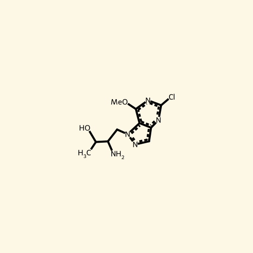 COc1nc(Cl)nc2cnn(CC(N)C(C)O)c12